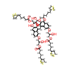 O=C(CCCCC1CCSS1)COC(O)COc1ccc2ccc(OCC(O)COC(=O)CCCCC3CCSS3)cc2c1Cc1c(OCC(O)COC(=O)CCCCC2CCSS2)ccc2ccc(OCC(O)COC(=O)CCCCC3CCSS3)cc12